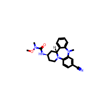 CON(C)C(=O)N[C@@H]1CCN2c3ccc(C#N)cc3N(C)c3ccccc3[C@H]2C1